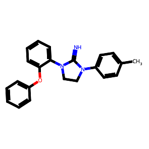 Cc1ccc(N2CCN(c3ccccc3Oc3ccccc3)C2=N)cc1